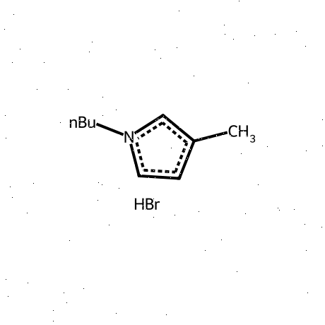 Br.CCCCn1ccc(C)c1